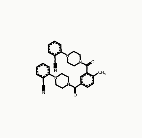 Cc1ccc(C(=O)N2CCN(c3ccccc3C#N)CC2)cc1C(=O)N1CCN(c2ccccc2C#N)CC1